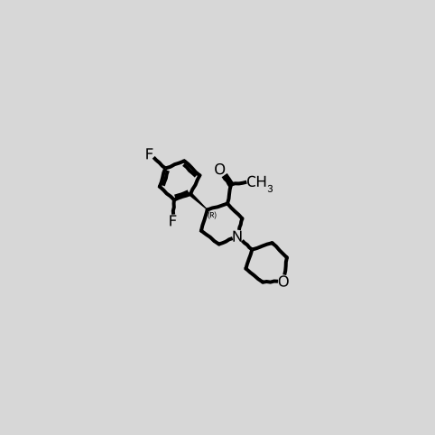 CC(=O)C1CN(C2CCOCC2)CC[C@H]1c1ccc(F)cc1F